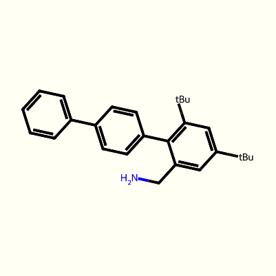 CC(C)(C)c1cc(CN)c(-c2ccc(-c3ccccc3)cc2)c(C(C)(C)C)c1